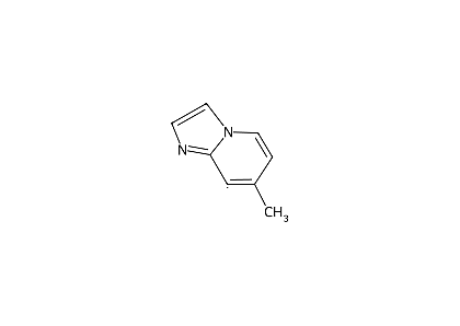 Cc1[c]c2nccn2cc1